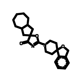 O=C1N=C(N2CCC3(CC2)OCc2ccccc23)OC12CC1CCCCCC1C2